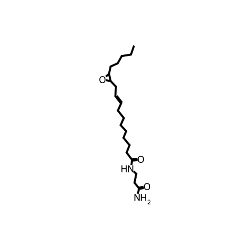 CCCCCC1OC1CC=CCCCCCCCC(=O)NCCC(N)=O